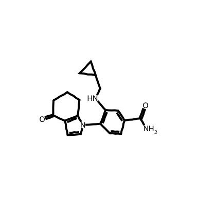 NC(=O)c1ccc(-n2ccc3c2CCCC3=O)c(NCC2CC2)c1